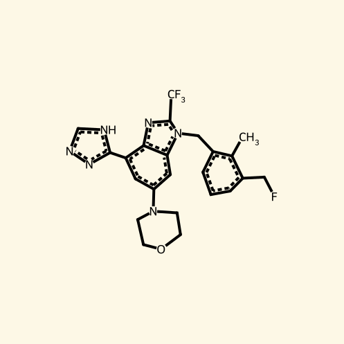 Cc1c(CF)cccc1Cn1c(C(F)(F)F)nc2c(-c3nnc[nH]3)cc(N3CCOCC3)cc21